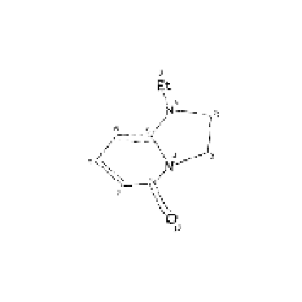 CCN1CCn2c1cccc2=O